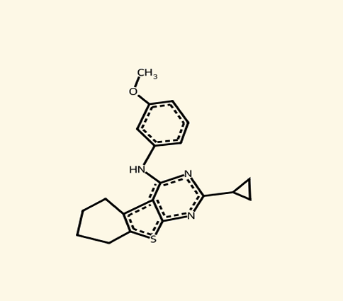 COc1cccc(Nc2nc(C3CC3)nc3sc4c(c23)CCCC4)c1